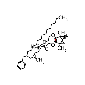 CCCCCCCCCCCCCCC(Cc1ccccc1)CN(C)CCNC(=O)OCCOC(=O)C1(C)[IH]C12CC2(C)C(=O)OCCCC